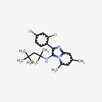 Cc1cc(C)n2c(NC(C)(C)CC(C)(C)C)c(-c3ccc(Cl)cc3Cl)nc2c1